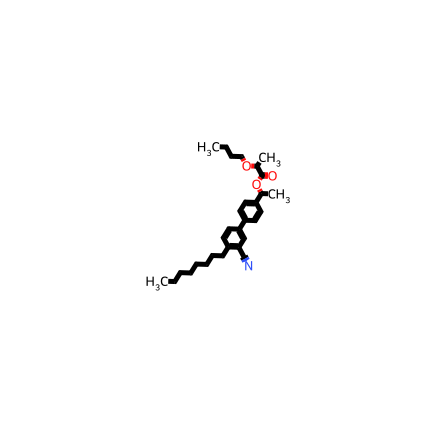 CCCCCCCCc1ccc(-c2ccc(C(C)OC(=O)C(C)OCCCC)cc2)cc1C#N